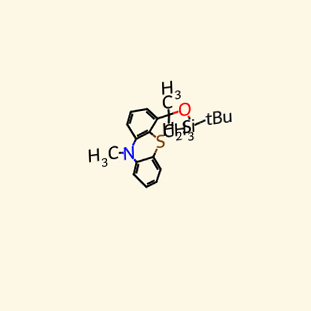 CN1c2ccccc2Sc2c1cccc2C(C)(C)O[SiH2]C(C)(C)C